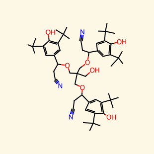 CC(C)(C)c1cc(C(CC#N)OCC(CO)(COC(CC#N)c2cc(C(C)(C)C)c(O)c(C(C)(C)C)c2)COC(CC#N)c2cc(C(C)(C)C)c(O)c(C(C)(C)C)c2)cc(C(C)(C)C)c1O